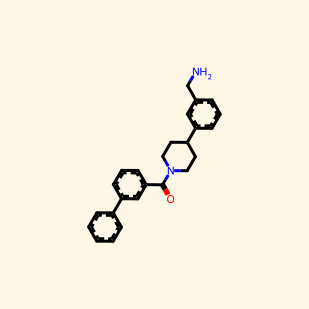 NCc1cccc(C2CCN(C(=O)c3cccc(-c4ccccc4)c3)CC2)c1